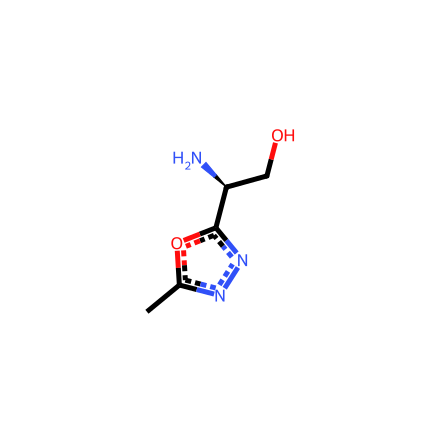 Cc1nnc([C@@H](N)CO)o1